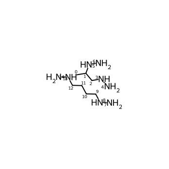 CC(CNN)NN.NNCCCCNN